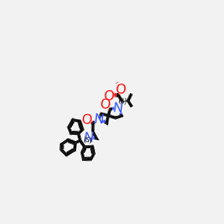 COC(=O)[C@H](C(C)C)N1CCC2(CN(C(=O)C3C[N@@]3C(c3ccccc3)(c3ccccc3)c3ccccc3)C2)C1=O